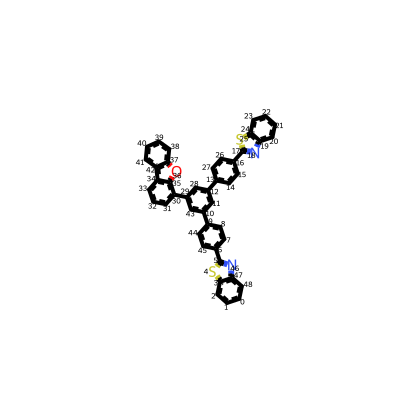 c1ccc2sc(-c3ccc(-c4cc(-c5ccc(-c6nc7ccccc7s6)cc5)cc(-c5cccc6c5oc5ccccc56)c4)cc3)nc2c1